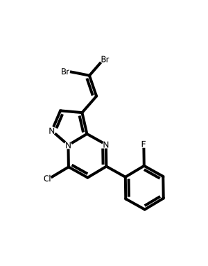 Fc1ccccc1-c1cc(Cl)n2ncc(C=C(Br)Br)c2n1